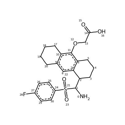 NC(C1CCCc2c1cc1c(c2OCC(=O)O)CCCC1)S(=O)(=O)c1ccc(F)cc1